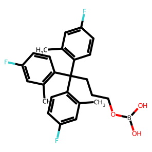 Cc1cc(F)ccc1C(CCCOB(O)O)(c1ccc(F)cc1C)c1ccc(F)cc1C